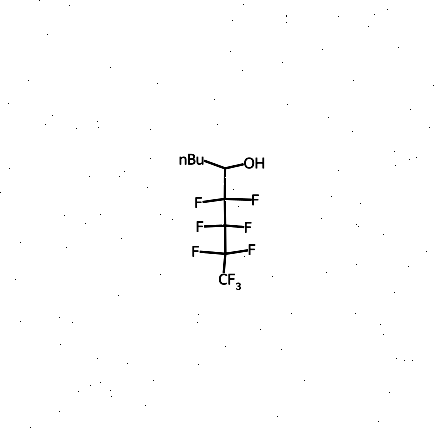 CCCCC(O)C(F)(F)C(F)(F)C(F)(F)C(F)(F)F